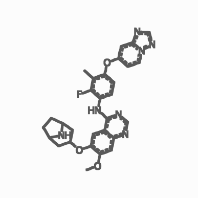 COc1cc2ncnc(Nc3ccc(Oc4ccn5ncnc5c4)c(C)c3F)c2cc1OC1CC2CCC(C1)N2